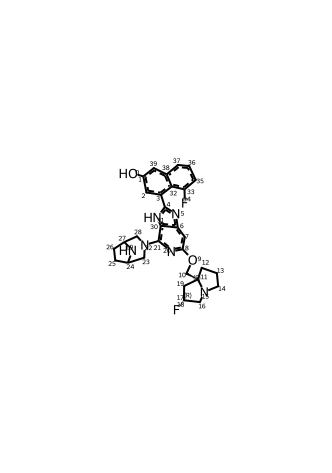 Oc1cc(-c2nc3cc(OC[C@@]45CCCN4C[C@H](F)C5)nc(N4CC5CCC(C4)N5)c3[nH]2)c2c(F)cccc2c1